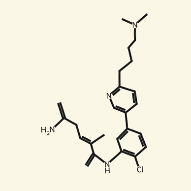 C=C(N)C/C=C(\C)C(=C)Nc1cc(-c2ccc(CCCCN(C)C)nc2)ccc1Cl